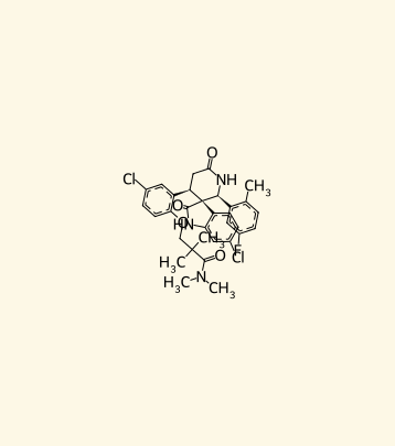 Cc1ccc(F)cc1[C@@H]1NC(=O)C[C@H](c2cc(Cl)ccc2OCC(C)(C)C(=O)N(C)C)[C@@]12C(=O)Nc1cc(Cl)ccc12